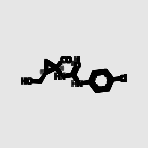 O=C(Nc1ccc(Cl)cc1)N[C@@]1(C(=O)O)C[C@@H]1CO